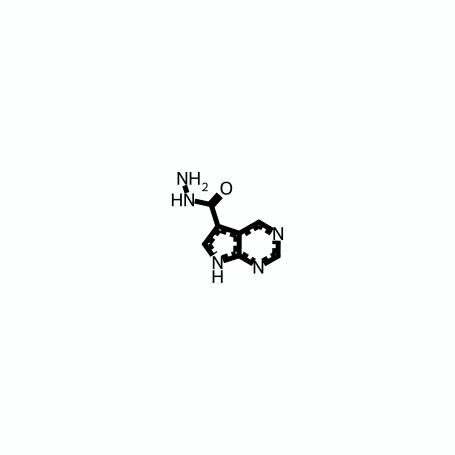 NNC(=O)c1c[nH]c2ncncc12